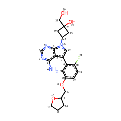 Nc1ncnc2c1c(-c1cc(OCC3CCCO3)ccc1F)cn2C1CC(O)(CO)C1